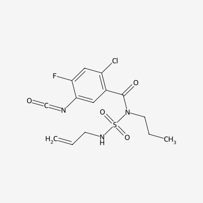 C=CCNS(=O)(=O)N(CCC)C(=O)c1cc(N=C=O)c(F)cc1Cl